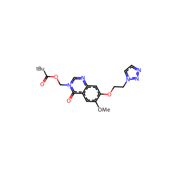 COc1cc2c(=O)n(COC(=O)C(C)(C)C)cnc2cc1OCCn1ccnn1